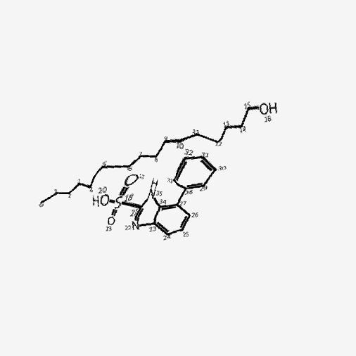 CCCCCCCCCCCCCCCCO.O=S(=O)(O)c1nc2cccc(-c3ccccc3)c2[nH]1